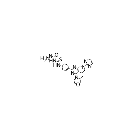 C[C@H]1COCCN1c1nc(-c2ccc(NC(=S)NC(=O)N(C)N)cc2)nc2c1CCN(c1ncccn1)C2